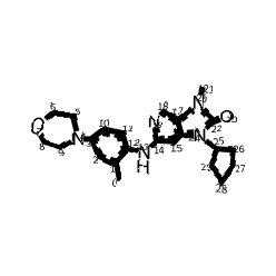 Cc1cc(N2CCOCC2)ccc1Nc1cc2c(cn1)n(C)c(=O)n2C1CCCC1